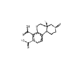 O=C1CCN2c3ccc(C(=O)O)c(C(=O)O)c3OC[C@@H]2C1